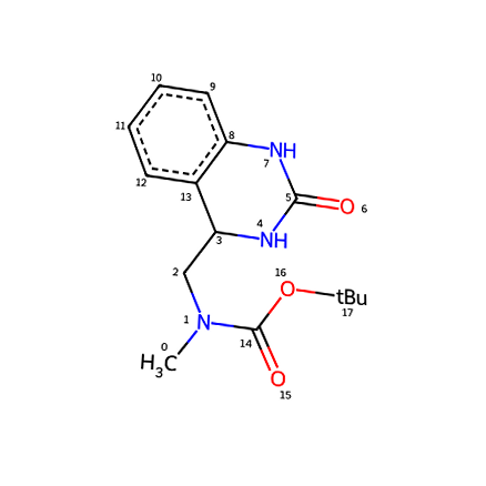 CN(CC1NC(=O)Nc2ccccc21)C(=O)OC(C)(C)C